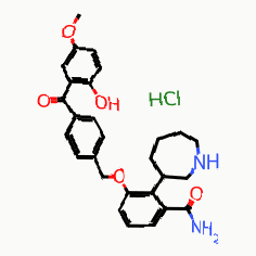 COc1ccc(O)c(C(=O)c2ccc(COc3cccc(C(N)=O)c3C3CCCCNC3)cc2)c1.Cl